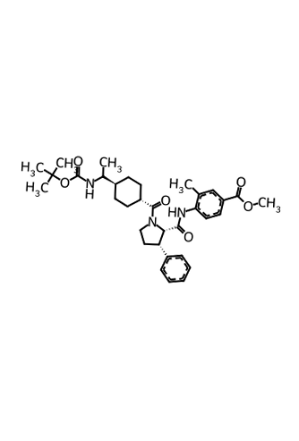 COC(=O)c1ccc(NC(=O)[C@@H]2[C@H](c3ccccc3)CCN2C(=O)[C@H]2CC[C@H](C(C)NC(=O)OC(C)(C)C)CC2)c(C)c1